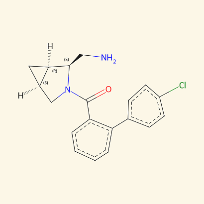 NC[C@@H]1[C@@H]2C[C@@H]2CN1C(=O)c1ccccc1-c1ccc(Cl)cc1